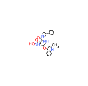 Cc1cc(O[C@@H]2CN[C@H](C(=O)N3CC=C(c4ccccc4)C3)[C@@H](C(=O)NO)C2)c2ccccc2n1